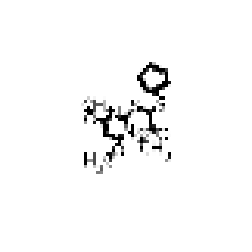 COC(=O)C(Sc1ccccc1)Sc1nc(OC)cc(OC)n1